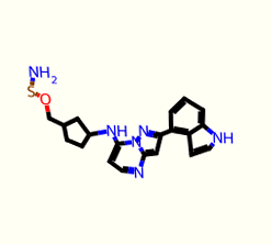 NSOCC1CCC(Nc2ccnc3cc(-c4cccc5[nH]ccc45)nn23)C1